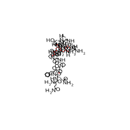 CC(C)C[C@H](NC(=O)[C@H](C)NC(=O)[C@H](CC(N)=O)NC(=O)CNC(=O)[C@H](CC(N)=O)NC(=O)[C@@H]1CCCN1C(=O)[C@H](CC(N)=O)NC(=O)[C@@H]1CCCN1C(=O)[C@H]1CCCN1C(=O)[C@H](Cc1ccccc1)NC(=O)[C@H](CCC(N)=O)NC(=O)[C@@H](N)CCC(N)=O)C(=O)N[C@@H](CC(=O)O)C(=O)N[C@@H](CCC(=O)O)C(=O)N[C@@H](CO)C(N)=O